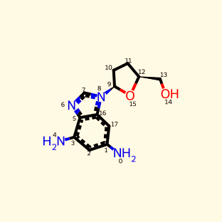 Nc1cc(N)c2ncn([C@H]3CC[C@@H](CO)O3)c2c1